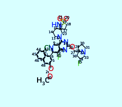 COCOc1cc(-c2ncc3c(N4CCCC5(CCS(=O)(=O)N5)C4)nc(OC[C@@]45CCCN4C[C@H](F)C5)nc3c2F)c2c(Cl)cccc2c1